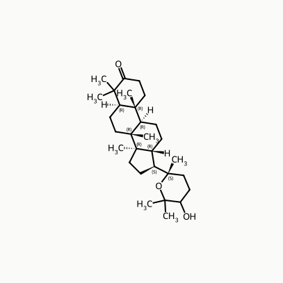 CC1(C)O[C@](C)([C@H]2CC[C@]3(C)[C@@H]2CC[C@@H]2[C@@]4(C)CCC(=O)C(C)(C)[C@@H]4CC[C@]23C)CCC1O